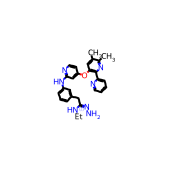 CCN/C(Cc1cccc(Nc2cc(Oc3cc(C)c(C)nc3-c3ccccn3)ccn2)c1)=N\N